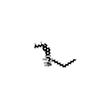 CCCCCCCC/C=C\CCCCCCCCOC(COP(=O)(O)O)C(OC1CC[C@@]2(C)C(=CCC3C2CC[C@@]2(C)C3CC[C@@H]2[C@H](C)CCCC(C)C)C1)C(=O)O